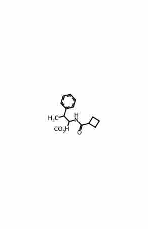 CC(c1ccccc1)C(NC(=O)C1CCC1)C(=O)O